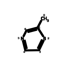 Cc1bccnc1